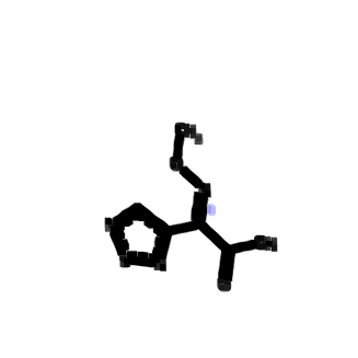 CO/N=C(/C(=O)O)c1cnsn1